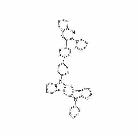 c1ccc(-c2nc3ccccc3nc2-c2ccc(-c3ccc(-n4c5ccccc5c5cc6c(cc54)c4ccccc4n6-c4ccccc4)cc3)cc2)cc1